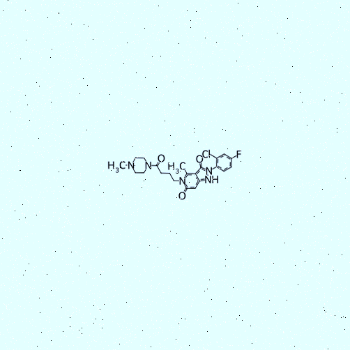 Cc1c2c(=O)n(-c3ccc(F)cc3Cl)[nH]c2cc(=O)n1CCCC(=O)N1CCN(C)CC1